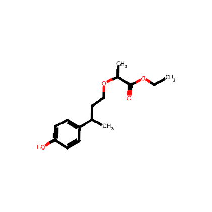 CCOC(=O)C(C)OCCC(C)c1ccc(O)cc1